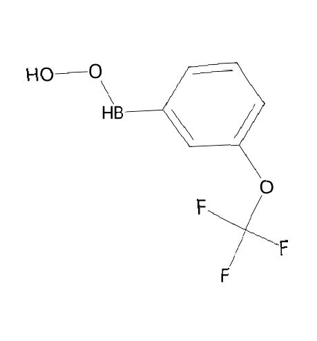 OOBc1cccc(OC(F)(F)F)c1